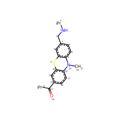 CC(C)NCc1ccc2c(c1)Sc1cc(C(=O)C(C)C)ccc1N2C